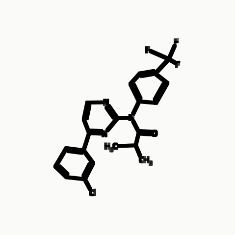 CC(C)C(=O)N(c1ccc(C(F)(F)F)cc1)c1nccc(-c2cccc(Cl)c2)n1